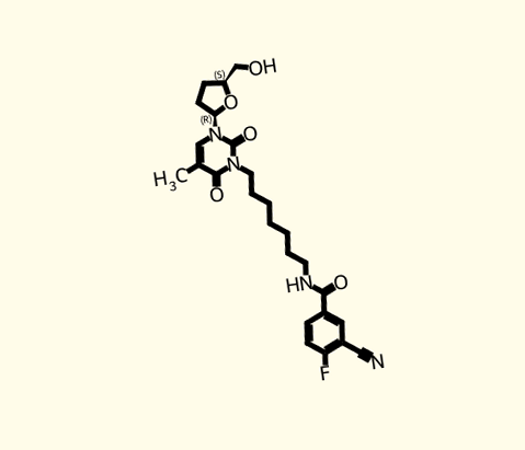 Cc1cn([C@H]2CC[C@@H](CO)O2)c(=O)n(CCCCCCCNC(=O)c2ccc(F)c(C#N)c2)c1=O